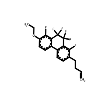 C=CCCc1ccc2c(c1F)C(F)(F)C(F)(F)c1c-2ccc(OCC)c1F